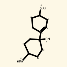 CCCCC1CC=C(C2(C#N)CCC(CCCC)CC2)CC1